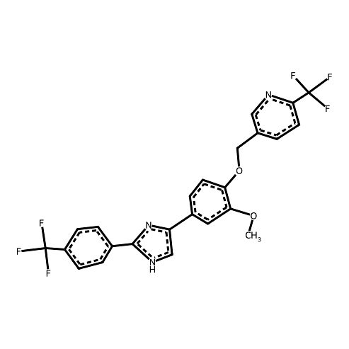 COc1cc(-c2c[nH]c(-c3ccc(C(F)(F)F)cc3)n2)ccc1OCc1ccc(C(F)(F)F)nc1